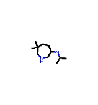 CC(C)NC1CCC(C)(C)CNC1